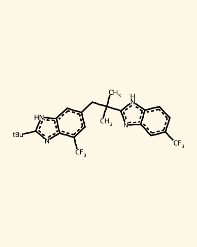 CC(C)(C)c1nc2c(C(F)(F)F)cc(CC(C)(C)c3nc4cc(C(F)(F)F)ccc4[nH]3)cc2[nH]1